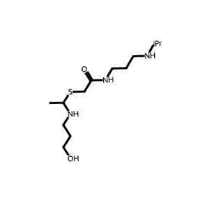 CC(C)NCCCNC(=O)CSC(C)NCCCO